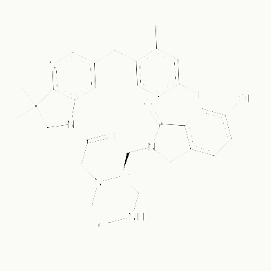 Cc1cc(F)ccc1Cc1cnc2c(c1)N(C(=O)CN1C[C@@H](C)NC[C@@H]1CN1Cc3ccc(O)cc3C1=O)CC2(C)C